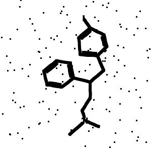 CN(C)CCC(Cc1ccc(I)cc1)c1ccccc1